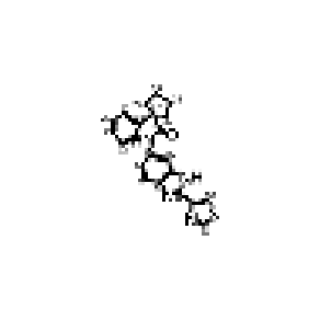 O=C(Nc1ccc2nc(-c3cscn3)[nH]c2c1)C1(c2ccccc2)CCCC1